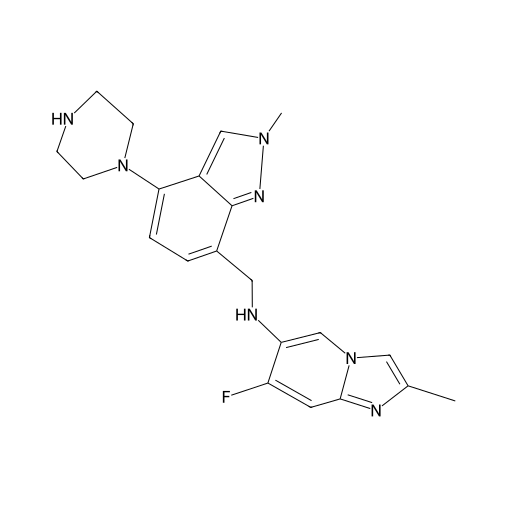 Cc1cn2cc(NCc3ccc(N4CCNCC4)c4cn(C)nc34)c(F)cc2n1